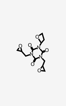 O=c1n(CC2CO2)c(=O)n(C2CCO2)c(=O)n1CC1CO1